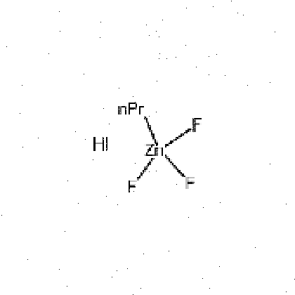 CC[CH2][Zn]([F])([F])[F].I